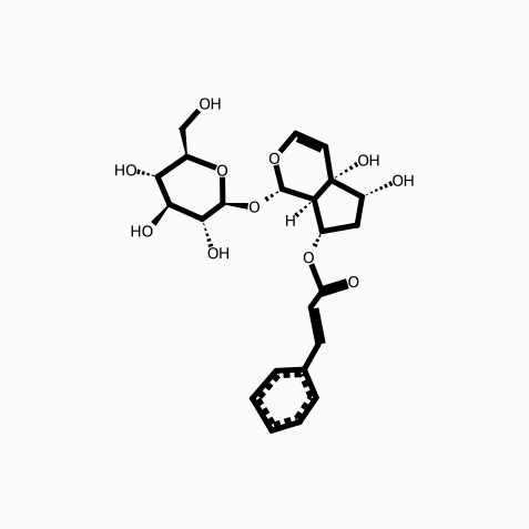 O=C(/C=C/c1ccccc1)O[C@H]1C[C@@H](O)[C@]2(O)C=CO[C@@H](O[C@@H]3O[C@H](CO)[C@@H](O)[C@H](O)[C@H]3O)[C@H]12